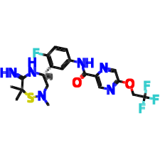 CN1C[C@@H](c2cc(NC(=O)c3cnc(OCC(F)(F)F)cn3)ccc2F)NC(=N)C(C)(C)S1